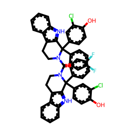 O=C(N1CCc2c([nH]c3ccccc23)C1(c1ccc(F)cc1)c1ccc(O)c(Cl)c1)N1CCc2c([nH]c3ccccc23)C1(c1ccc(F)cc1)c1ccc(O)c(Cl)c1